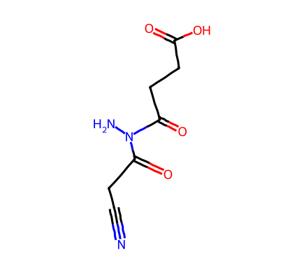 N#CCC(=O)N(N)C(=O)CCC(=O)O